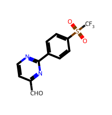 O=Cc1ccnc(-c2ccc(S(=O)(=O)C(F)(F)F)cc2)n1